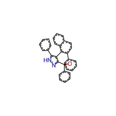 O=C(c1ccccc1)c1n[nH]c(-c2ccccc2)c1-c1c(-c2ccccc2)ccc2ccccc12